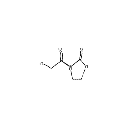 O=C(CCl)N1CCOC1=O